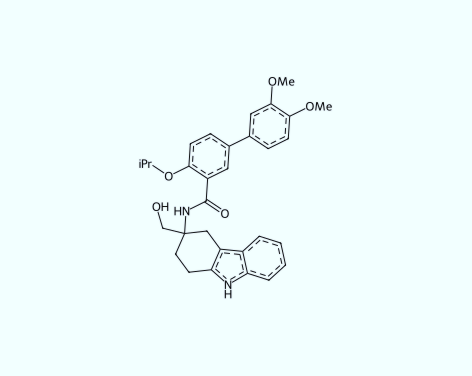 COc1ccc(-c2ccc(OC(C)C)c(C(=O)NC3(CO)CCc4[nH]c5ccccc5c4C3)c2)cc1OC